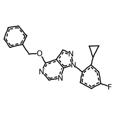 Fc1ccc(-n2ncc3c(OCc4ccccc4)ncnc32)c(C2CC2)c1